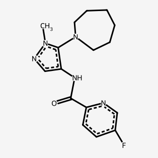 Cn1ncc(NC(=O)c2ccc(F)cn2)c1N1CCCCCC1